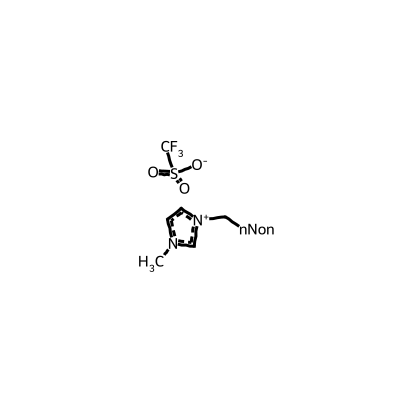 CCCCCCCCCC[n+]1ccn(C)c1.O=S(=O)([O-])C(F)(F)F